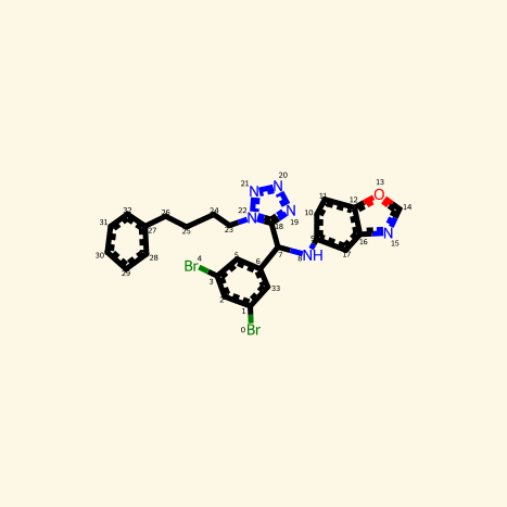 Brc1cc(Br)cc(C(Nc2ccc3ocnc3c2)c2nnnn2CCCCc2ccccc2)c1